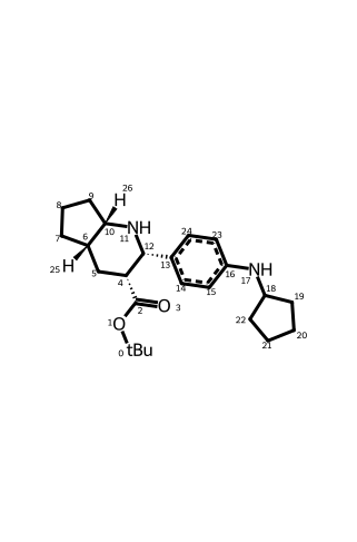 CC(C)(C)OC(=O)[C@@H]1C[C@@H]2CCC[C@@H]2N[C@@H]1c1ccc(NC2CCCC2)cc1